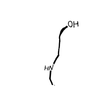 [CH2]NCCO